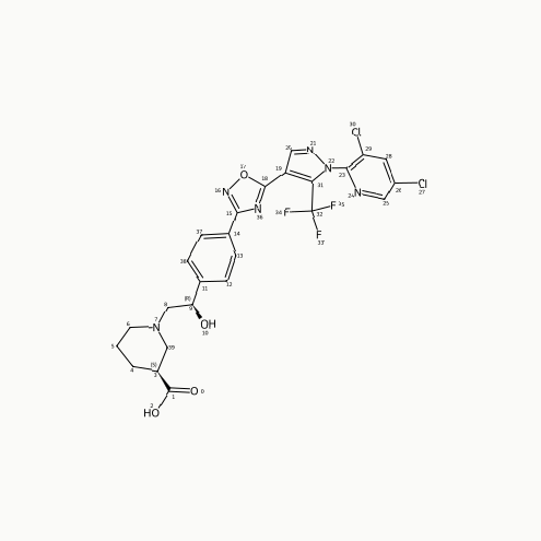 O=C(O)[C@H]1CCCN(C[C@H](O)c2ccc(-c3noc(-c4cnn(-c5ncc(Cl)cc5Cl)c4C(F)(F)F)n3)cc2)C1